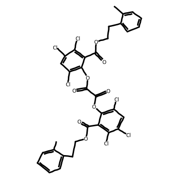 Cc1ccccc1CCOC(=O)c1c(Cl)c(Cl)cc(Cl)c1OC(=O)C(=O)Oc1c(Cl)cc(Cl)c(Cl)c1C(=O)OCCc1ccccc1C